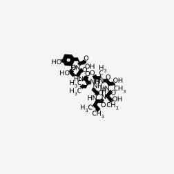 CC[C@H](C)[C@H](NC(=O)CN)C(=O)N[C@H](C(=O)N[C@H](C(=O)N[C@@H](C)C(=O)N[C@@H](CC(C)C)C(=O)N[C@@H](CC(=O)O)C(=O)N[C@@H](Cc1ccc(O)cc1)C(=O)O)[C@@H](C)O)[C@@H](C)O